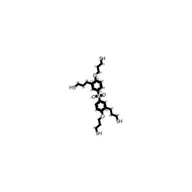 O=S(=O)(c1ccc(OCCCS)c(CCCS)c1)c1ccc(OCCCS)c(CCCS)c1